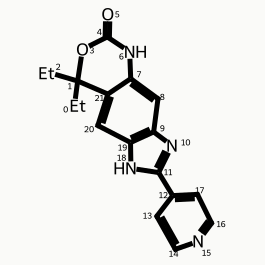 CCC1(CC)OC(=O)Nc2cc3nc(-c4ccncc4)[nH]c3cc21